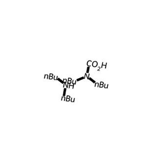 CCCCN(CCCC)C(=O)O.CCCCNCCCC